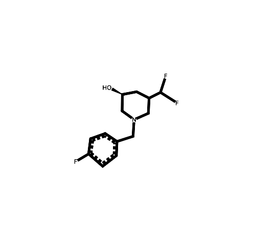 O[C@H]1CC(C(F)F)CN(Cc2ccc(F)cc2)C1